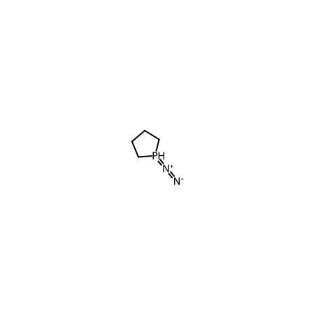 [N-]=[N+]=[PH]1CCCC1